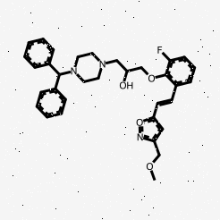 COCc1cc(C=Cc2cccc(F)c2OCC(O)CN2CCN(C(c3ccccc3)c3ccccc3)CC2)on1